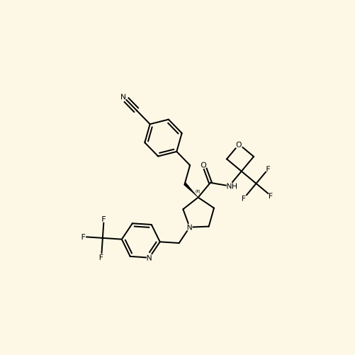 N#Cc1ccc(CC[C@@]2(C(=O)NC3(C(F)(F)F)COC3)CCN(Cc3ccc(C(F)(F)F)cn3)C2)cc1